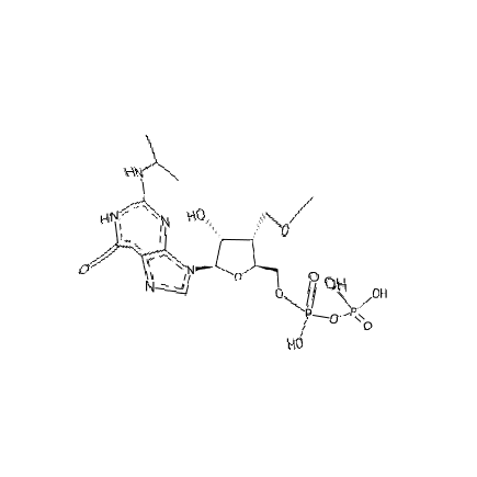 COC[C@H]1[C@@H](O)[C@H](n2cnc3c(=O)[nH]c(NC(C)C)nc32)O[C@@H]1COP(=O)(O)OP(=O)(O)O